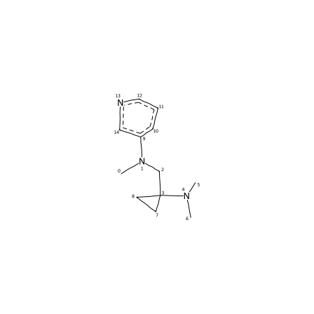 CN(CC1(N(C)C)CC1)c1cccnc1